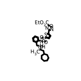 CCOC(=O)c1nc(-c2ccc(S(=O)(=O)Nc3ccccc3CN[C@@H](C)CC3CCCCCC3)s2)no1